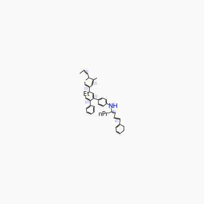 C/C=C\C(C)/C(C)=C\C(=C/C)C/C=C(\C(=C/CC)c1ccccc1)c1ccc(N/C(=C/C=C/C2=CC=CCC2)CCC)cc1